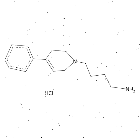 Cl.NCCCCN1CC=C(c2ccccc2)CC1